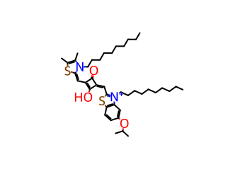 CCCCCCCCCCN1C(C)=C(C)S/C1=C/C1=C(O)C(=C\c2sc3ccc(OC(C)C)cc3[n+]2CCCCCCCCCC)/C1=O